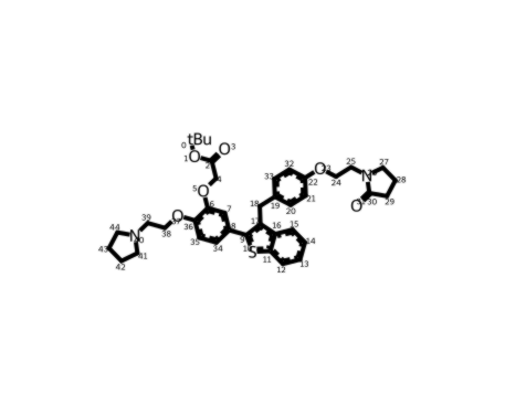 CC(C)(C)OC(=O)COc1cc(-c2sc3ccccc3c2Cc2ccc(OCCN3CCCC3=O)cc2)ccc1OCCN1CCCC1